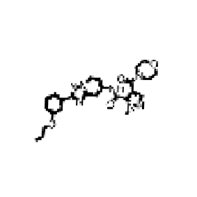 CCCOc1cccc(-c2nc3cc(NC(=O)c4c(C(=O)N5CCOCC5)cnn4C)ccn3n2)c1